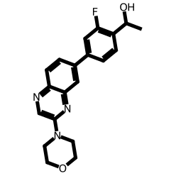 CC(O)c1ccc(-c2ccc3ncc(N4CCOCC4)nc3c2)cc1F